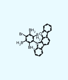 Bc1c(B)c(-n2c3ccccc3c3ccc4c5ccccc5oc4c32)c(B)c(B)c1Br